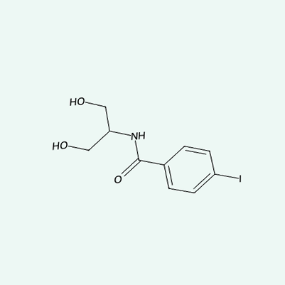 O=C(NC(CO)CO)c1ccc(I)cc1